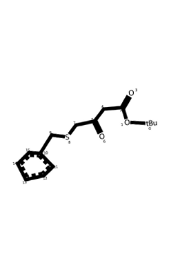 CC(C)(C)OC(=O)CC(=O)CSCc1ccccc1